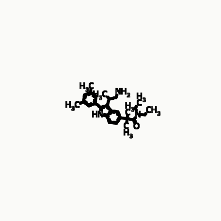 CCN(CC)C(=O)C(C)(C)c1ccc2[nH]c(-c3cc(C)cc(C)c3)c(C(C)CN)c2c1